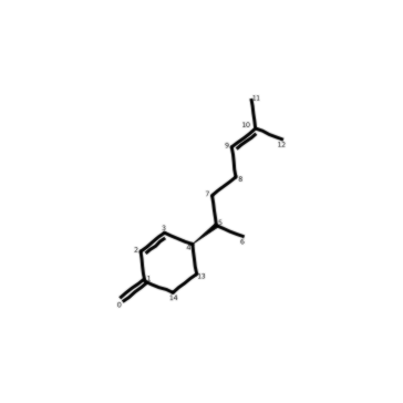 C=C1C=C[C@@H](C(C)CCC=C(C)C)CC1